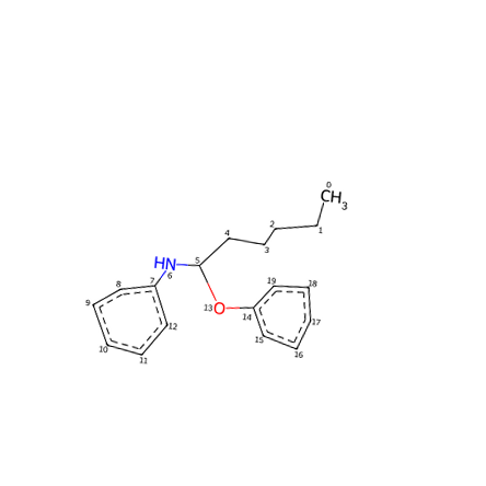 CCCCCC(Nc1ccccc1)Oc1ccccc1